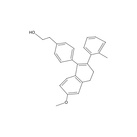 COc1ccc2c(c1)CCC(c1ccccc1C)=C2c1ccc(CCO)cc1